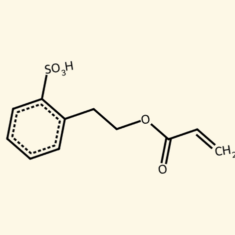 C=CC(=O)OCCc1ccccc1S(=O)(=O)O